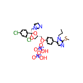 CCCn1c(-c2ccc(OC[C@@H]3CO[C@@](Cn4ccnc4)(c4ccc(Cl)cc4Cl)O3)cc2)cnc1SC.O=[N+]([O-])O.O=[N+]([O-])O